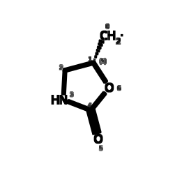 [CH2][C@H]1CNC(=O)O1